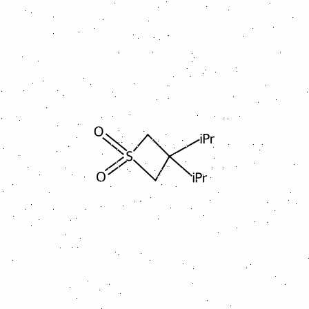 CC(C)C1(C(C)C)CS(=O)(=O)C1